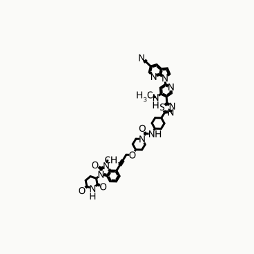 CNc1cc(-n2ccc3cc(C#N)cnc32)ncc1-c1nnc(C2CCC(NC(=O)N3CCC(OCC#Cc4cccc5c4n(C)c(=O)n5C4CCC(=O)NC4=O)CC3)CC2)s1